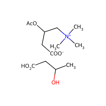 CC(=O)OC(CC(=O)[O-])C[N+](C)(C)C.CC(O)CC(=O)O